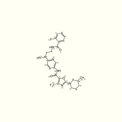 CCCN(CCNC(=O)c1ccccc1F)c1ccc(NC(=O)c2oc(N3CCCC(C)C3)nc2C(F)(F)F)cn1